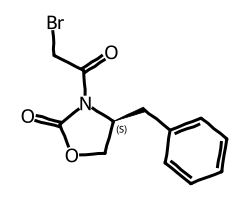 O=C(CBr)N1C(=O)OC[C@@H]1Cc1ccccc1